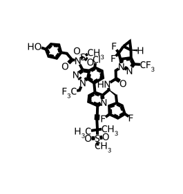 CC(C)(C#Cc1ccc(-c2ccc(Cl)c3c(N(C(=O)Cc4ccc(O)cc4)S(C)(=O)=O)nn(CC(F)(F)F)c23)c([C@H](Cc2cc(F)cc(F)c2)NC(=O)Cn2nc(C(F)(F)F)c3c2C(F)(F)C2C[C@H]32)n1)S(C)(=O)=O